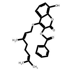 CC(C)=CCCC(C)=CCOc1c(OC(=O)c2ccccc2)c(=O)oc2c(O)cccc12